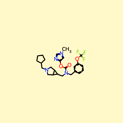 Cn1cnc(OC(=O)N(Cc2cccc(OC(F)(F)F)c2)CC2C3CN(CC4CCCC4)CC32)c1